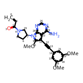 C=CC(=O)N1CC[C@H](n2c(OC)c(C#Cc3cc(OC)cc(OC)c3)c3c(N)ncnc32)C1